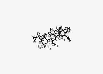 C=C1C=C2[C@@]3(C)C=C(C#N)C(=O)C(C)(C)[C@@H]3CC[C@@]2(C)[C@]2(C)CC[C@@]3(NS(=O)(=O)C4CC4)CCC(C)(C)CC3C12